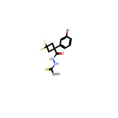 CNC(=S)NNC(=O)C1(c2cccc(Br)c2)CC(F)(F)C1